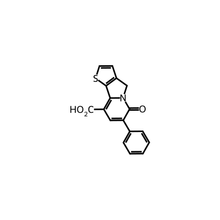 O=C(O)c1cc(-c2ccccc2)c(=O)n2c1-c1sccc1C2